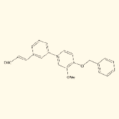 COc1cc(-c2cccc(C=CC=O)c2)ccc1OCc1ccccc1